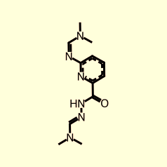 CN(C)/C=N\c1cccc(C(=O)N/N=C/N(C)C)n1